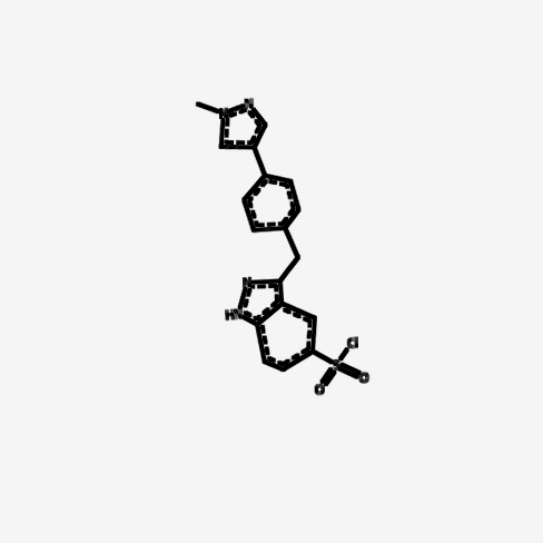 Cn1cc(-c2ccc(Cc3n[nH]c4ccc(S(=O)(=O)Cl)cc34)cc2)cn1